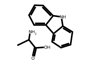 CC(N)C(=O)O.c1ccc2c(c1)[nH]c1ccccc12